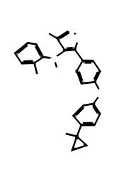 CCOC(=O)N(c1ccccc1Cl)c1c(C)noc1-c1ccc(Oc2ccc(C3(C(=O)OCC)CC3)cc2)cc1